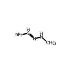 CCC[SH]=NNC=O